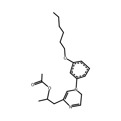 CCCCCCOc1cccc(N2C=C(CC(C)OC(C)=O)N=CC2)c1